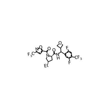 CC[C@@H]1C[C@H](C(=O)NC(c2cc(F)c(C(F)(F)F)cc2F)C2COC2)N(C(=O)c2cc(C(F)(F)F)no2)C1